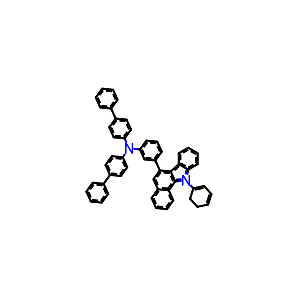 C1=CCCC(n2c3ccccc3c3c(-c4cccc(N(c5ccc(-c6ccccc6)cc5)c5ccc(-c6ccccc6)cc5)c4)cc4ccccc4c32)=C1